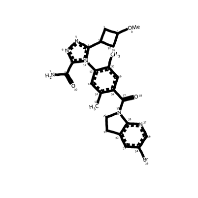 COC1CC(c2nnc(C(N)=O)n2-c2cc(C)c(C(=O)N3CCc4cc(Br)cnc43)cc2C)C1